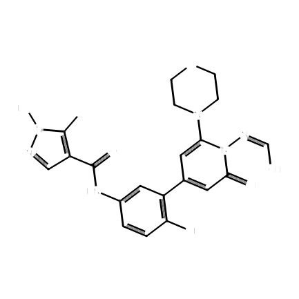 C=C1C=C(c2cc(NC(=O)c3cnn(C(C)(C)C)c3F)ccc2C)C=C(N2CCOCC2)N1/N=C\C